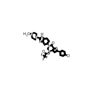 CN1CCN(c2nc3cc(N4CN(OC(=O)C(F)(F)F)c5cc(-c6ccc(Cl)cc6)sc5C4=O)ccc3[nH]2)CC1